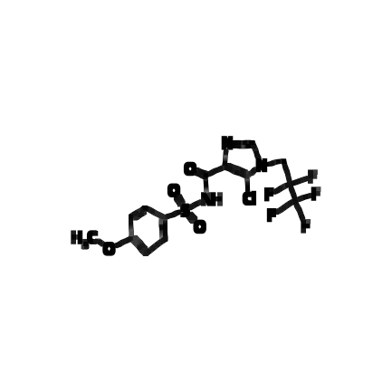 COc1ccc(S(=O)(=O)NC(=O)c2ncn(CC(F)(F)C(F)(F)F)c2Cl)cc1